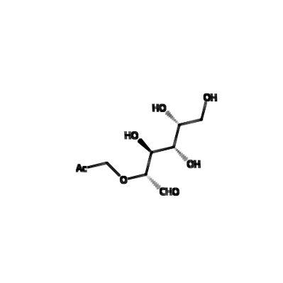 CC(=O)CO[C@@H](C=O)[C@@H](O)[C@@H](O)[C@H](O)CO